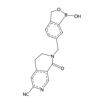 N#Cc1cc2c(cn1)C(=O)N(Cc1ccc3c(c1)B(O)OC3)CC2